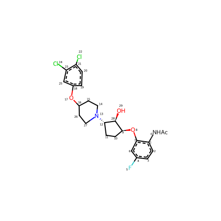 CC(=O)Nc1ccc(F)cc1O[C@H]1CC[C@H](N2CCC(Oc3ccc(Cl)c(Cl)c3)CC2)[C@H]1O